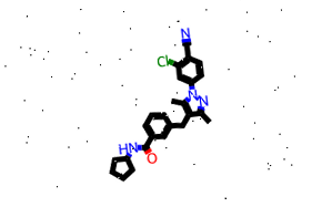 Cc1nn(-c2ccc(C#N)c(Cl)c2)c(C)c1Cc1cccc(C(=O)NC2CCCC2)c1